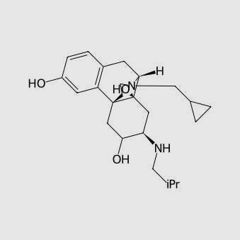 CC(C)CN[C@@H]1C[C@@]2(O)[C@H]3Cc4ccc(O)cc4[C@@]2(CCN3CC2CC2)CC1O